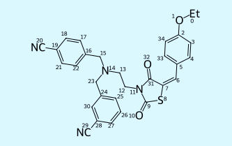 CCOc1ccc(C=C2SC(=O)N(CCN(Cc3ccc(C#N)cc3)Cc3cccc(C#N)c3)C2=O)cc1